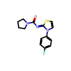 O=C(N=c1sccn1-c1ccc(F)cc1)N1CCCC1